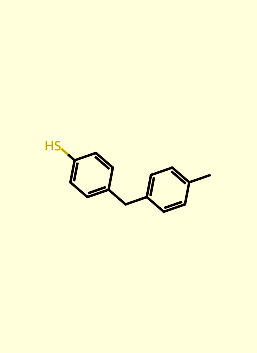 Cc1ccc(Cc2ccc(S)cc2)cc1